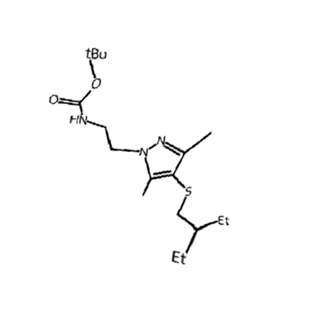 CCC(CC)CSc1c(C)nn(CCNC(=O)OC(C)(C)C)c1C